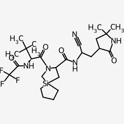 CC1(C)CC(CC(C#N)NC(=O)C2C[Si]3(CCCC3)CN2C(=O)[C@@H](NC(=O)C(F)(F)F)C(C)(C)C)C(=O)N1